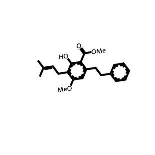 COC(=O)c1c(CCc2ccccc2)cc(OC)c(CC=C(C)C)c1O